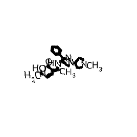 C=N/C=C\C(C(=O)O)=C(/C)Nc1cn(C2CCN(C)CC2)nc1-c1ccccc1